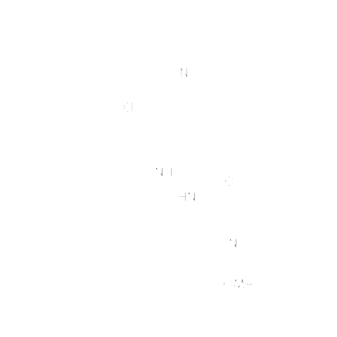 COc1ccc(NC(=O)c2ccc(-c3ncccc3Cl)cc2NCc2ccccc2)cn1